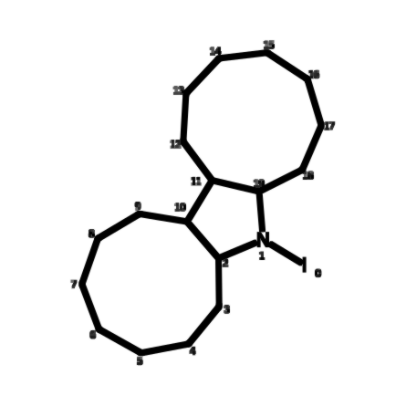 IN1C2CCCCCCCC2C2CCCCCCCC21